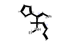 C=C/C=C\C(C)(NCC)/C(=C\C(C)C)C1=CC=CC1